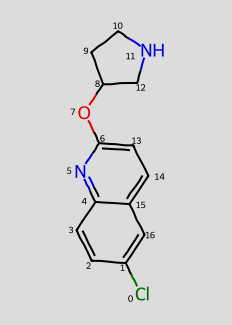 Clc1ccc2nc(OC3CCNC3)ccc2c1